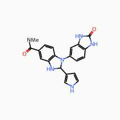 CNC(=O)c1ccc2c(c1)NC(c1cc[nH]c1)N2c1ccc2[nH]c(=O)[nH]c2c1